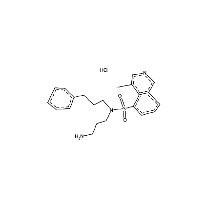 Cc1cncc2cccc(S(=O)(=O)N(CCCN)CCCc3ccccc3)c12.Cl